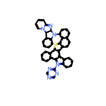 C1=CC2=NC3C(c4ccccc4N3c3cccc4ccc5c(sc6c7ccccc7c7c(c8ccccc8n7-c7ncncn7)c56)c34)N2C=C1